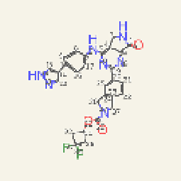 O=C1NCc2c(Nc3ccc(-c4cn[nH]c4)cc3)nc(-c3ccc4c(c3)CN(C(=O)OC3CC(F)(F)C3)C4)nc21